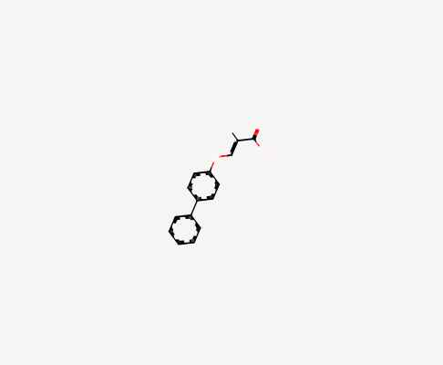 C/C(=C\Oc1ccc(-c2ccccc2)cc1)C(=O)O